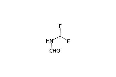 O=CNC(F)F